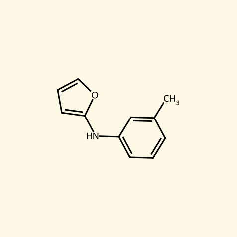 Cc1cccc(Nc2ccco2)c1